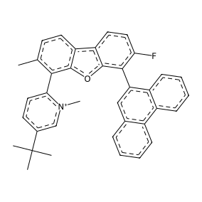 Cc1ccc2c(oc3c(-c4cc5ccccc5c5ccccc45)c(F)ccc32)c1-c1ccc(C(C)(C)C)c[n+]1C